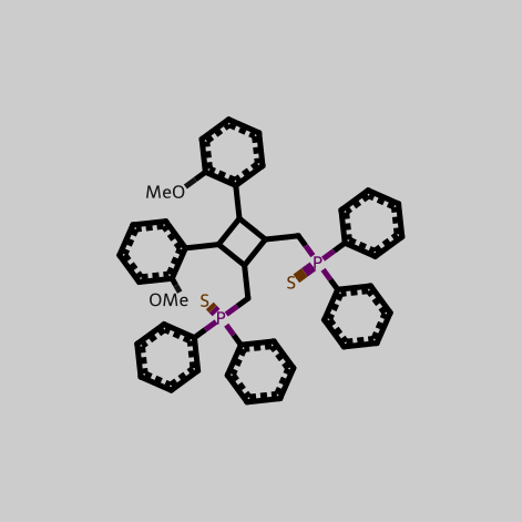 COc1ccccc1C1C(CP(=S)(c2ccccc2)c2ccccc2)C(CP(=S)(c2ccccc2)c2ccccc2)C1c1ccccc1OC